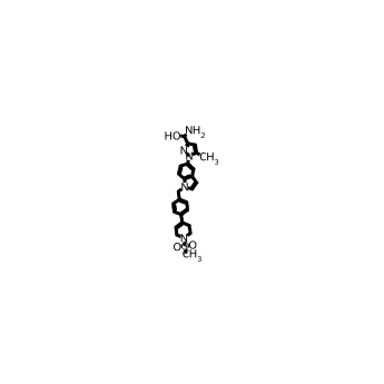 Cc1cc(C(N)O)nn1-c1ccc2c(ccn2Cc2ccc(C3=CCN(S(C)(=O)=O)CC3)cc2)c1